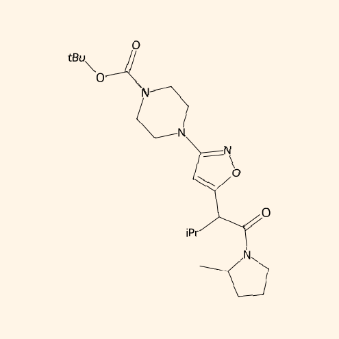 CC(C)C(C(=O)N1CCCC1C)c1cc(N2CCN(C(=O)OC(C)(C)C)CC2)no1